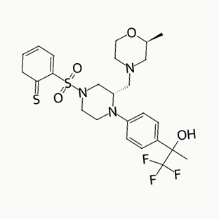 C[C@H]1CN(C[C@H]2CN(S(=O)(=O)C3=CC=CCC3=S)CCN2c2ccc(C(C)(O)C(F)(F)F)cc2)CCO1